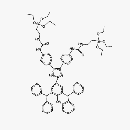 CCO[Si](CCNC(=O)Nc1ccc(-c2nc(-c3cc(C(c4ccccc4)c4ccccc4)c(O)c(C(c4ccccc4)c4ccccc4)c3)[nH]c2-c2ccc(NC(=O)NCC[Si](OCC)(OCC)OCC)cc2)cc1)(OCC)OCC